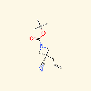 C=CCC1(C#N)CN(C(=O)OC(C)(C)C)C1